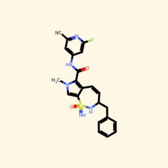 Cn1cc2c(c1C(=O)Nc1cc(F)nc(C#N)c1)C=CC(Cc1ccccc1)NS2(=N)=O